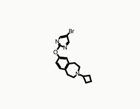 Brc1cnc(Oc2ccc3c(c2)CCN(C2CCC2)CC3)nc1